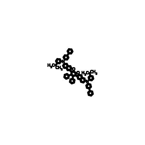 CC(C)c1cccc(N(c2ccc(-c3ccccc3)cc2)c2ccc3cc4c(cc3c2)oc2c3oc5cc6cc(N(c7ccc(-c8ccccc8)cc7)c7cccc(C(C)C)c7)ccc6cc5c3c(-c3ccccc3)c(-c3ccccc3)c42)c1